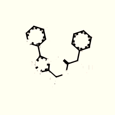 C[C@@H](OC(=O)[C@@H](O)c1ccccc1)c1nnc(-c2ccccn2)s1